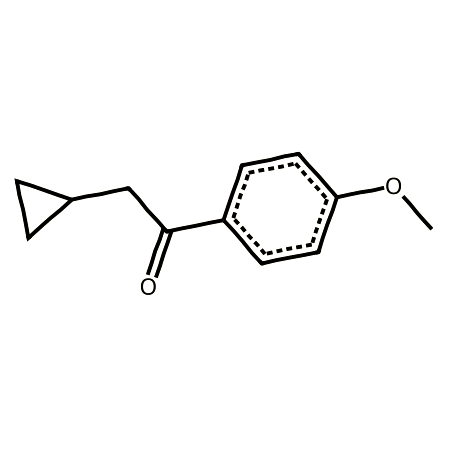 COc1ccc(C(=O)CC2CC2)cc1